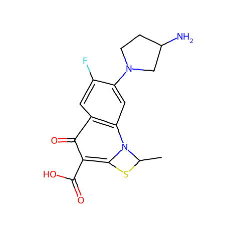 CC1Sc2c(C(=O)O)c(=O)c3cc(F)c(N4CCC(N)C4)cc3n21